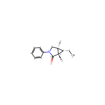 N#CC[C@H]1[C@@H]2CN(c3ccccc3)C(=O)[C@@H]12